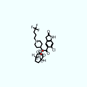 O=C1Cc2cc(C(=O)N[C@H]3C[C@H]4CC[C@@H](C3)N4S(=O)(=O)CC3CCN(CCCC(F)(F)F)CC3)c(Cl)cc2N1